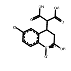 O=C(O)CC(c1cc(Cl)ccc1[N+](=O)[O-])C(C(=O)O)C(=O)O